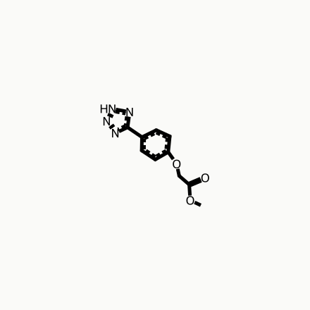 COC(=O)COc1ccc(-c2nn[nH]n2)cc1